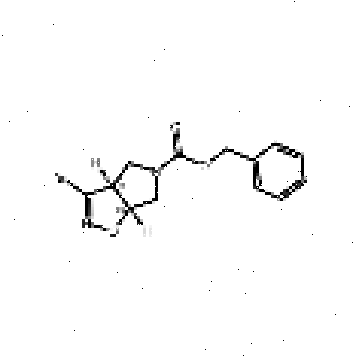 O=C(OCc1ccccc1)N1C[C@@H]2ON=C(Br)[C@@H]2C1